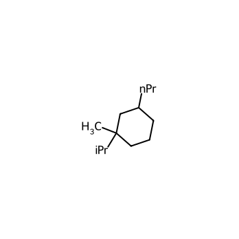 [CH2]CCC1CCCC(C)(C(C)C)C1